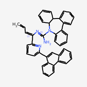 C=C/C=C(\N=C(/N)N1c2ccccc2-c2ccccc2C2C=CC=CC21)c1cccc(-c2cc3ccccc3c3ccccc23)n1